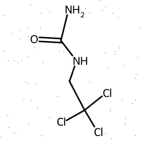 NC(=O)NCC(Cl)(Cl)Cl